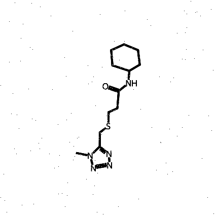 Cn1nnnc1CSCCC(=O)NC1CCCCC1